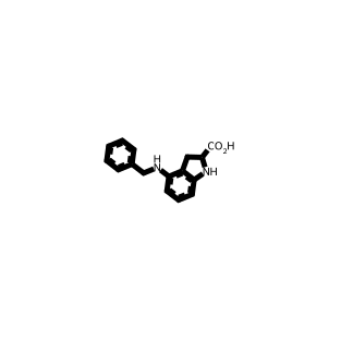 O=C(O)C1Cc2c(NCc3ccccc3)cccc2N1